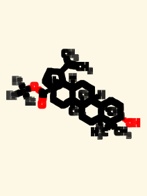 C=C(C)[C@@H]1CC[C@]2(C(=O)O[Si](CC)(CC)CC)CC[C@]3(C)[C@H](CC[C@@H]4[C@@]5(C)CC[C@H](O)C(C)(C)[C@@H]5CC[C@]43C)[C@@H]12